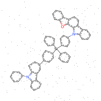 c1ccc(-n2c3ccccc3c3cc(-c4ccc([Si](c5ccccc5)(c5ccccc5)c5ccc(-n6c7ccccc7c7ccc8c9ccccc9oc8c76)cc5)cc4)ccc32)cc1